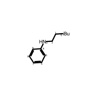 C[CH]C(C)CCNc1ccccc1